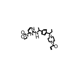 C=CC(=O)N1CCN(C(CC)c2ccc(C(C)Nc3nccc(N4CCOC4=O)n3)cc2)CC1